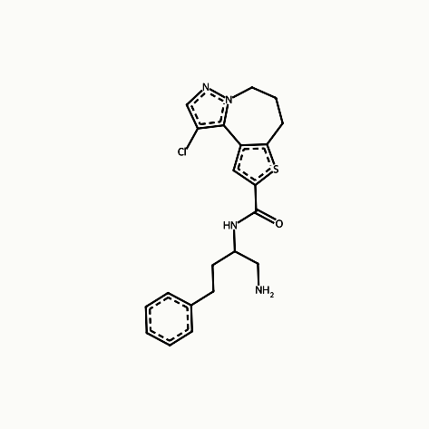 NCC(CCc1ccccc1)NC(=O)c1cc2c(s1)CCCn1ncc(Cl)c1-2